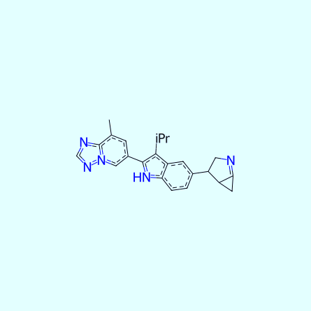 Cc1cc(-c2[nH]c3ccc(C4CN=C5CC54)cc3c2C(C)C)cn2ncnc12